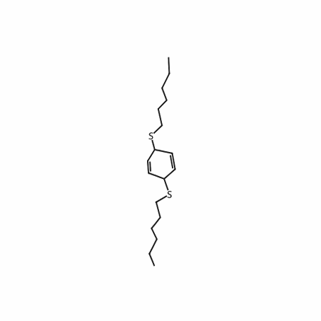 CCCCCCSC1C=CC(SCCCCCC)C=C1